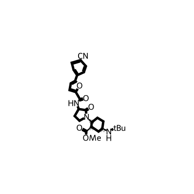 COC(=O)[C@@H]1C[C@H](NC(C)(C)C)CC[C@@H]1N1CCC(NC(=O)c2ccc(-c3ccc(C#N)cc3)o2)C1=O